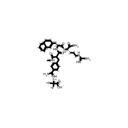 CNC(=O)C(Cc1ccc(C(=N)N)cc1)C(=O)N[C@@H](Cc1ccc2ccccc2c1)C(=O)N[C@@H](CCCNC(=N)N)C(N)=O.O=C(O)C(F)(F)F